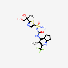 Cc1c(C(F)(F)F)nc2c(c1NC(=O)N=S(N)(=O)c1cnc(C(C)(O)CO)s1)CCC2